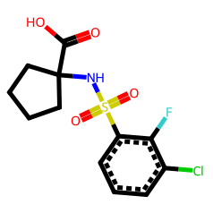 O=C(O)C1(NS(=O)(=O)c2cccc(Cl)c2F)CCCC1